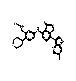 CC(C)NCc1nc(Nc2ccc(-c3cnn4cc(F)cnc34)c3c2C(=O)NC3)ccc1C1CCOCC1